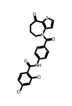 O=C(Nc1ccc(C(=O)N2CCCC(=O)c3sccc32)cc1)c1ccc(Cl)cc1Cl